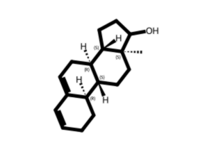 C[C@]12CC[C@H]3[C@@H](CC=C4C=CCC[C@@H]43)[C@@H]1CCC2O